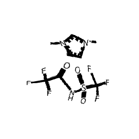 Cn1cc[n+](C)c1.O=C(NS(=O)(=O)C(F)(F)F)C(F)(F)F